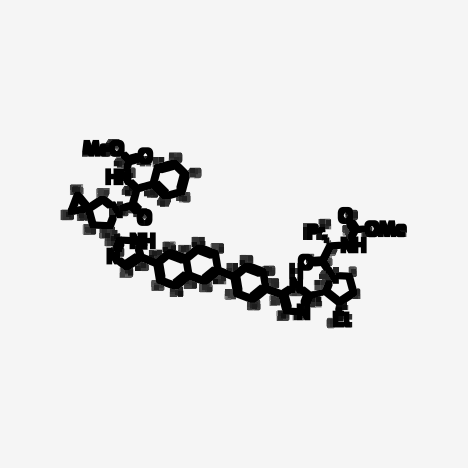 CC[C@@H]1CCN(C(=O)[C@@H](NC(=O)OC)C(C)C)[C@@H]1c1ncc(-c2ccc(-c3ccc4cc(-c5cnc([C@@H]6CC7(CC7)CN6C(=O)C(NC(=O)OC)c6ccccc6)[nH]5)ccc4c3)cc2)[nH]1